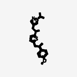 COc1ccc(C(C)Cc2ccc(C(C)Cc3cnn(C(C)C)c3)s2)cc1